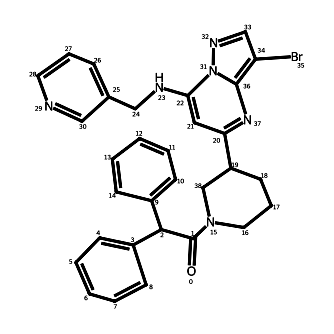 O=C(C(c1ccccc1)c1ccccc1)N1CCCC(c2cc(NCc3cccnc3)n3ncc(Br)c3n2)C1